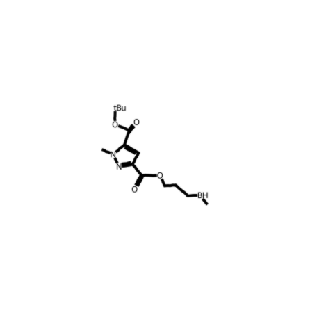 CBCCCOC(=O)c1cc(C(=O)OC(C)(C)C)n(C)n1